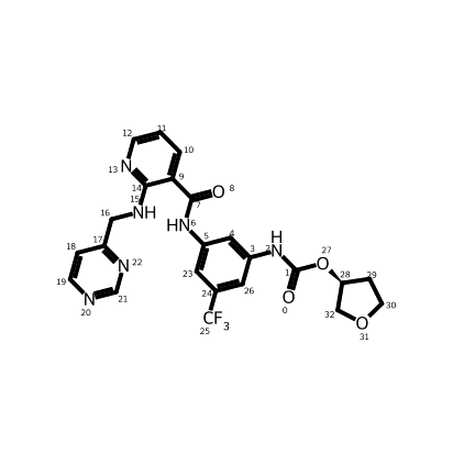 O=C(Nc1cc(NC(=O)c2cccnc2NCc2ccncn2)cc(C(F)(F)F)c1)O[C@H]1CCOC1